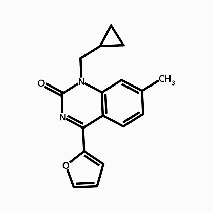 Cc1ccc2c(-c3ccco3)nc(=O)n(CC3CC3)c2c1